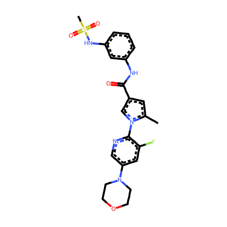 Cc1cc(C(=O)Nc2cccc(NS(C)(=O)=O)c2)cn1-c1ncc(N2CCOCC2)cc1F